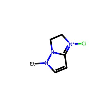 CCN1C=CC2=[N+](Cl)CCN21